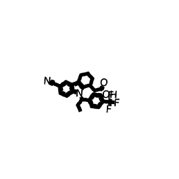 CCC(c1ccc(C(F)(F)F)cc1)n1c2c(c3cc(C#N)ccc31)CCCC2CC(=O)O